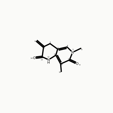 C=C1Cc2cn(C)c(=O)c(C)c2NC1=O